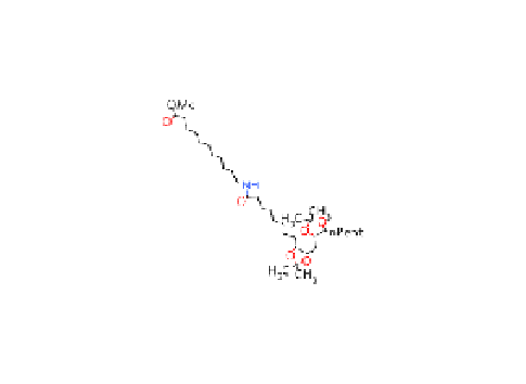 CCCCCC1OC(C)(C)OC1CC1OC(C)(C)OC1CCCCCCCC(=O)NCCCCCCCCCCC(=O)OC